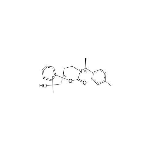 Cc1ccc([C@H](C)N2CC[C@](CC(C)(C)O)(c3ccccc3)OC2=O)cc1